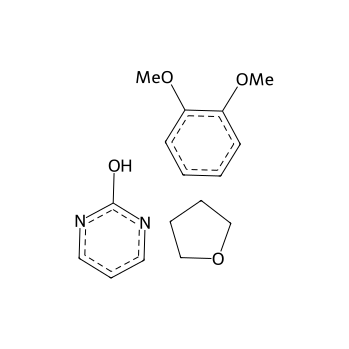 C1CCOC1.COc1ccccc1OC.Oc1ncccn1